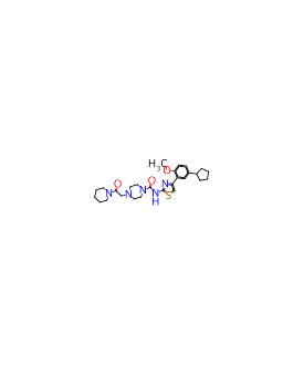 COc1ccc(C2CCCC2)cc1-c1csc(NC(=O)N2CCN(CC(=O)N3CCCCC3)CC2)n1